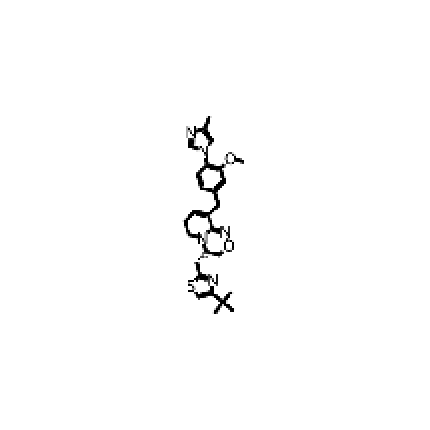 COc1cc(CC2=CCCN3C2=NOC[C@@H]3Cc2nc(C(C)(C)C)cs2)ccc1-n1cnc(C)c1